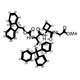 COC(=O)CNC(=O)C1(NC(=O)C(CSC(c2ccccc2)(c2ccccc2)c2ccccc2)NC(=O)OCC2c3ccccc3-c3ccccc32)CCC1